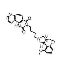 COc1cccc2c1[C@@H]1CN(CCCCn3c(=O)[nH]c4c(ccc5nnccc54)c3=O)C[C@@H]1CO2